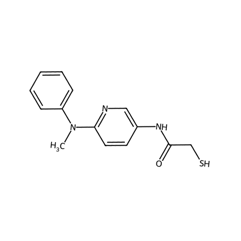 CN(c1ccccc1)c1ccc(NC(=O)CS)cn1